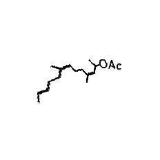 CC=CCCC(C)=CCCC(C)=CC(C)OC(C)=O